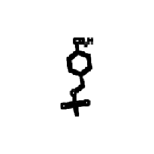 CS(=O)(=O)OC[C@H]1CC[C@@H](C(=O)O)CC1